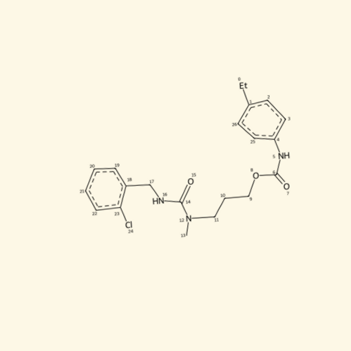 CCc1ccc(NC(=O)OCCCN(C)C(=O)NCc2ccccc2Cl)cc1